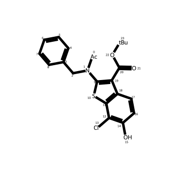 CC(=O)N(Cc1ccccc1)c1sc2c(Cl)c(O)ccc2c1C(=O)OC(C)(C)C